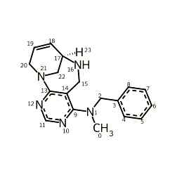 CN(Cc1ccccc1)c1ncnc2c1CN[C@@H]1C=CCN2C1